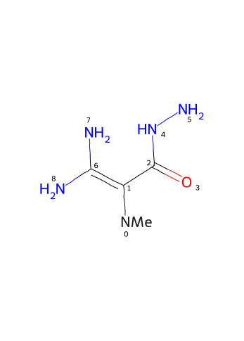 CNC(C(=O)NN)=C(N)N